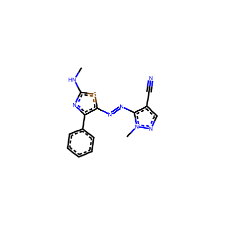 CNc1nc(-c2ccccc2)c(N=Nc2c(C#N)cnn2C)s1